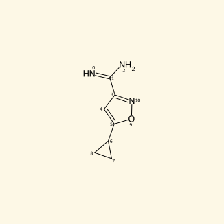 N=C(N)c1cc(C2CC2)on1